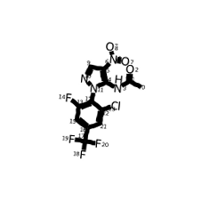 CC(=O)Nc1c([N+](=O)[O-])cnn1-c1c(F)cc(C(F)(F)F)cc1Cl